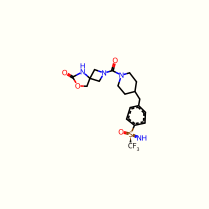 N=[S@](=O)(c1ccc(CC2CCN(C(=O)N3CC4(COC(=O)N4)C3)CC2)cc1)C(F)(F)F